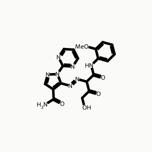 COc1ccccc1NC(=O)C(N=Nc1c(C(N)=O)cnn1-c1ncccn1)C(=O)CO